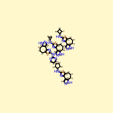 c1cnc(Nc2nc3c(s2)CCCc2[nH]ncc2-3)nc1.c1n[nH]c2c1-c1nc(NC3CC3)sc1CCC2.c1n[nH]c2c1-c1nc(NC3CCC3)sc1CCC2.c1n[nH]c2c1-c1nc(NC3CCCC3)sc1CCC2